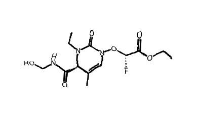 CCOC(=O)[C@H](F)ON1C=C(C)[C@@H](C(=O)NCO)N(CC)C1=O